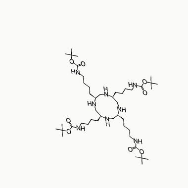 CC(C)(C)OC(=O)NCCCC[C@H]1CN[C@@H](CCCCNC(=O)OC(C)(C)C)CN[C@@H](CCCCNC(=O)OC(C)(C)C)CN[C@@H](CCCCNC(=O)OC(C)(C)C)CN1